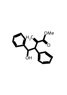 C=C(C(=O)OC)C(c1ccccc1)C(O)c1ccccc1